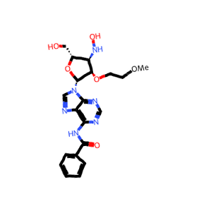 COCCO[C@@H]1[C@H](NO)[C@@H](CO)O[C@H]1n1cnc2c(NC(=O)c3ccccc3)ncnc21